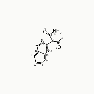 CC(=O)C(C(N)=O)c1ncc2ccccc2n1